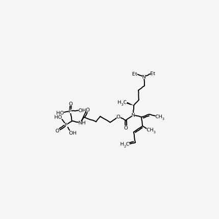 C=C/C=C(C)/C(=C\C)N(C(=O)OCCCC(=O)NC(P(=O)(O)O)P(=O)(O)O)[C@@H](C)CCCN(CC)CC